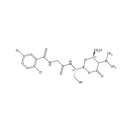 CC(C)C[C@H](NC(=O)CNC(=O)c1cc(Cl)ccc1Cl)B1OC(=O)C(N(C)C)[C@H](C(=O)O)O1